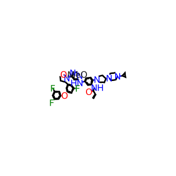 C=CC(=O)Nc1cc(Nc2cc(N3OCCC3c3cc(F)cc(Oc4cc(F)cc(F)c4)c3)ncn2)c(OC)cc1N1CCC(N2CCN(C3CC3)CC2)CC1